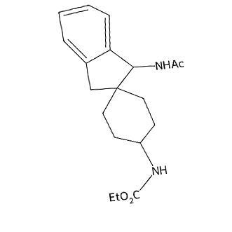 CCOC(=O)NC1CCC2(CC1)Cc1ccccc1C2NC(C)=O